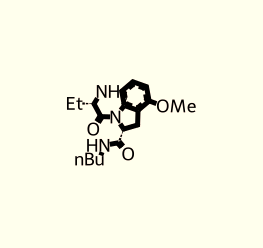 CCCCNC(=O)[C@H]1Cc2c(OC)cccc2N1C(=O)[C@@H](N)CC